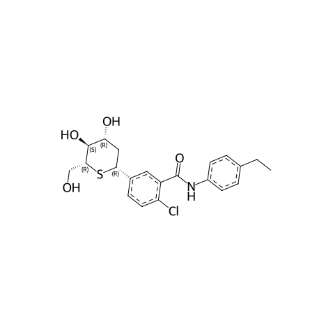 CCc1ccc(NC(=O)c2cc([C@H]3C[C@@H](O)[C@H](O)[C@@H](CO)S3)ccc2Cl)cc1